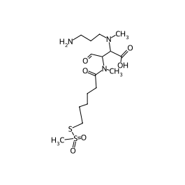 CN(CCCN)C(C(=O)O)C(C=O)N(C)C(=O)CCCCCSS(C)(=O)=O